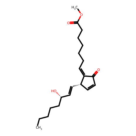 CCCCC[C@H](O)/C=C/[C@H]1C=CC(=O)/C1=C\CCCCCC(=O)OC